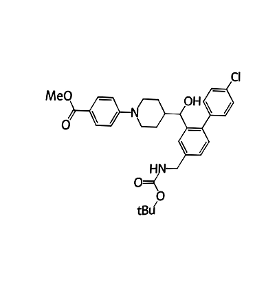 COC(=O)c1ccc(N2CCC(C(O)c3cc(CNC(=O)OC(C)(C)C)ccc3-c3ccc(Cl)cc3)CC2)cc1